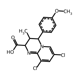 COc1ccc(C2C(C)C(C(=O)O)N=C3C(Cl)=CC(Cl)=CN32)cc1